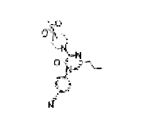 CCCc1cn(-c2ccc(C#N)cc2)c(=O)c(N2CCN(S(C)(=O)=O)CC2)n1